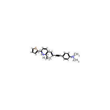 C/C(C#Cc1ccc(N(C)C)cc1)=C\c1ccc(-c2cccs2)nc1C